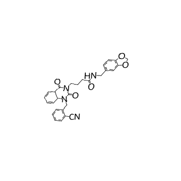 N#Cc1ccccc1CN1C(=O)N(CCCC(=O)NCc2ccc3c(c2)OCO3)C(=O)C2C=CC=CC21